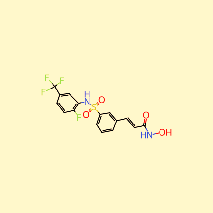 O=C(/C=C/c1cccc(S(=O)(=O)Nc2cc(C(F)(F)F)ccc2F)c1)NO